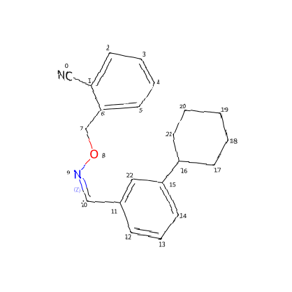 N#Cc1ccccc1CO/N=[C]\c1cccc(C2CCCCC2)c1